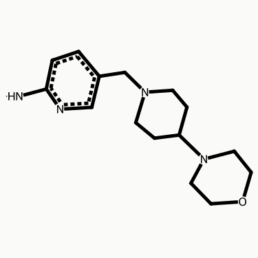 [NH]c1ccc(CN2CCC(N3CCOCC3)CC2)cn1